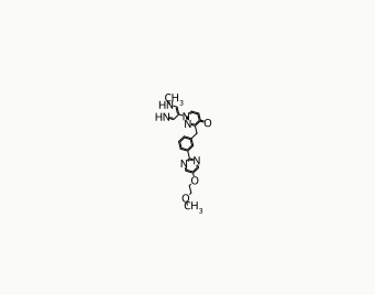 CN/C=C(\C=N)n1ccc(=O)c(Cc2cccc(-c3ncc(OCCOC)cn3)c2)n1